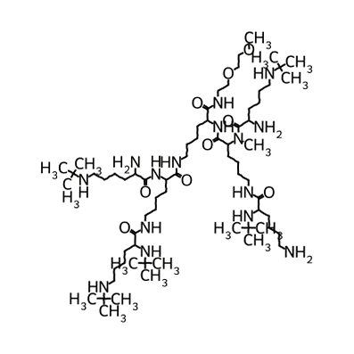 COCCOCCNC(=O)C(CCCCNC(=O)C(CCCCNC(=O)C(CCCCNC(C)(C)C)NC(C)(C)C)NC(=O)C(N)CCCCNC(C)(C)C)NC(=O)C(CCCCNC(=O)C(CCCCN)NC(C)(C)C)N(C)C(=O)C(N)CCCCNC(C)(C)C